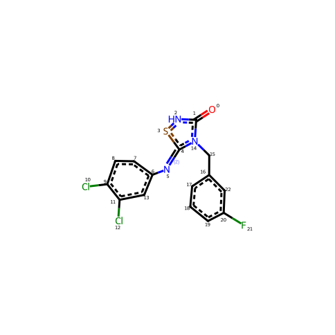 O=c1[nH]s/c(=N\c2ccc(Cl)c(Cl)c2)n1Cc1cccc(F)c1